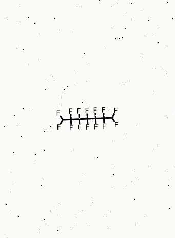 FC(F)C(F)(F)C(F)(F)C(F)(F)C(F)(F)C(F)(F)C(F)F